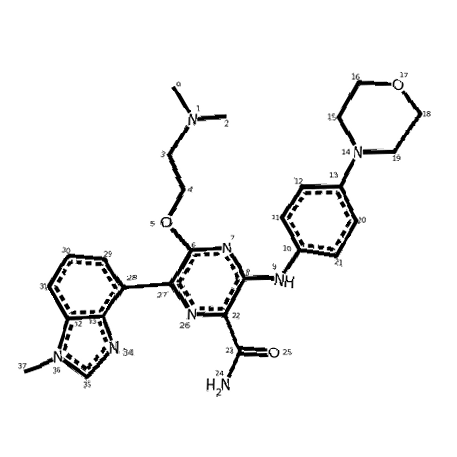 CN(C)CCOc1nc(Nc2ccc(N3CCOCC3)cc2)c(C(N)=O)nc1-c1cccc2c1ncn2C